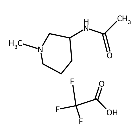 CC(=O)NC1CCCN(C)C1.O=C(O)C(F)(F)F